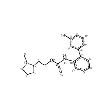 CN1CCCC1CCOC(=O)Nc1ccccc1-c1cccc(F)c1